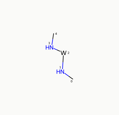 C[NH][W][NH]C